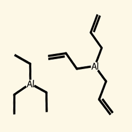 C=C[CH2][Al]([CH2]C=C)[CH2]C=C.C[CH2][Al]([CH2]C)[CH2]C